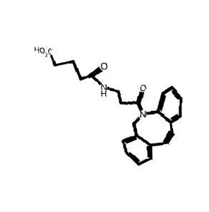 O=C(O)CCCC(=O)NCCC(=O)N1Cc2ccccc2C#Cc2ccccc21